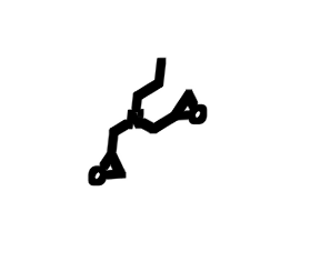 CCCN(CC1CO1)CC1CO1